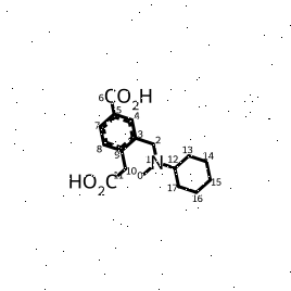 CN(Cc1cc(C(=O)O)ccc1CC(=O)O)C1CCCCC1